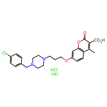 Cc1c(C(=O)O)c(=O)oc2cc(OCCCN3CCN(Cc4ccc(Cl)cc4)CC3)ccc12.Cl.Cl